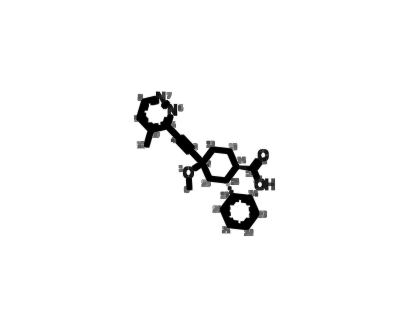 COC1(C#Cc2nnccc2C)CC[C@@H](C(=O)O)[C@H](c2ccccc2)C1